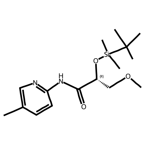 COC[C@@H](O[Si](C)(C)C(C)(C)C)C(=O)Nc1ccc(C)cn1